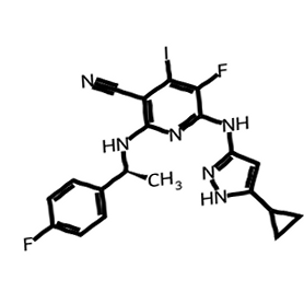 C[C@H](Nc1nc(Nc2cc(C3CC3)[nH]n2)c(F)c(I)c1C#N)c1ccc(F)cc1